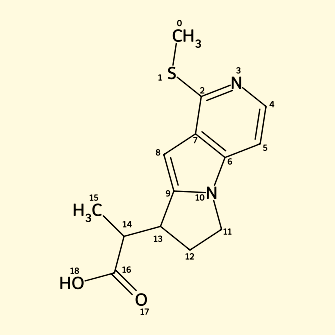 CSc1nccc2c1cc1n2CCC1C(C)C(=O)O